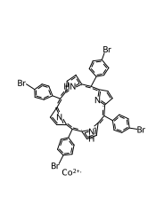 Brc1ccc(-c2c3nc(c(-c4ccc(Br)cc4)c4ccc([nH]4)c(-c4ccc(Br)cc4)c4nc(c(-c5ccc(Br)cc5)c5ccc2[nH]5)C=C4)C=C3)cc1.[Co+2]